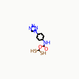 O=C(Nc1ccc(-n2cnnn2)cc1)OC(S)S